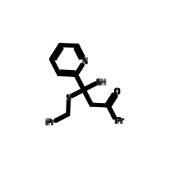 CC(C)CSC(S)(CC(=O)C(C)C)c1ccccn1